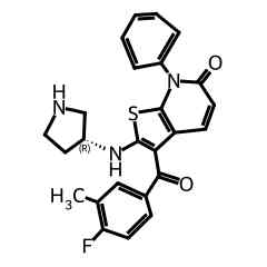 Cc1cc(C(=O)c2c(N[C@@H]3CCNC3)sc3c2ccc(=O)n3-c2ccccc2)ccc1F